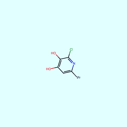 CC(C)c1cc(O)c(O)c(Cl)n1